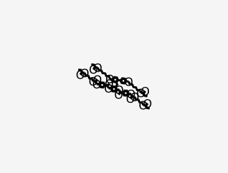 C=CC(=O)OCCCCCCOc1ccc(-c2ccc(OCCCCCCOC(=O)C=C)cc2Cc2cc(OC(=O)c3ccc(OC(=O)OCCCCOC(=O)C=C)cc3)ccc2OC(=O)c2ccc(OC(=O)OCCCCOC(=O)C=C)cc2)cc1